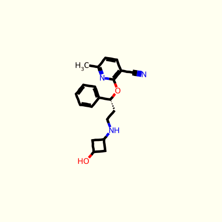 Cc1ccc(C#N)c(O[C@H](CCNC2CC(O)C2)c2ccccc2)n1